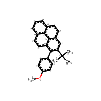 COc1ccc(-c2c(C(C)(C)C)cc3ccc4cccc5ccc2c3c45)cc1